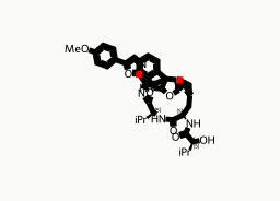 COc1ccc(-c2cnc(-c3nc4oc3C35c6ccccc6NC3Oc3ccc(cc35)C[C@H](NC(=O)[C@@H](O)C(C)C)C(=O)N[C@H]4C(C)C)o2)cc1